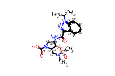 CC(C)n1nc(C(=O)N[C@H]2C[C@@H](CN(C)S(C)(=O)=O)N(C(=O)O)C2)c2ccccc21